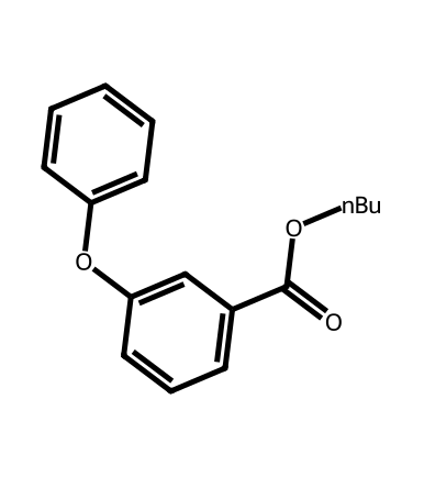 CCCCOC(=O)c1cccc(Oc2ccccc2)c1